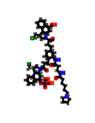 O=C(CCCCCN1CC=CC1)NCCC(=O)Nc1cc(C=CC(=O)N2C[C@@H](CCl)c3c2cc(O)c2ccccc32)ccc1C=CC(=O)N1C[C@@H](CCl)c2c1cc(OP(=O)(O)O)c1ccccc21